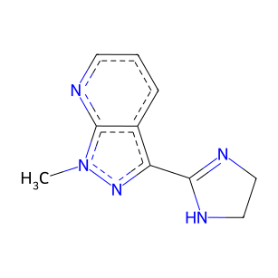 Cn1nc(C2=NCCN2)c2cccnc21